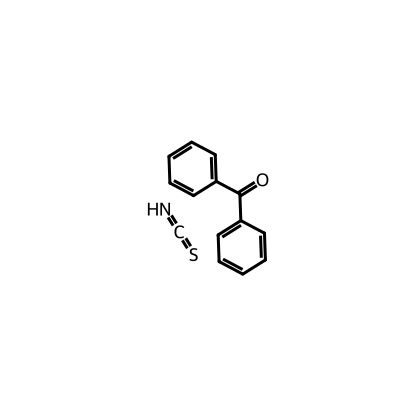 N=C=S.O=C(c1ccccc1)c1ccccc1